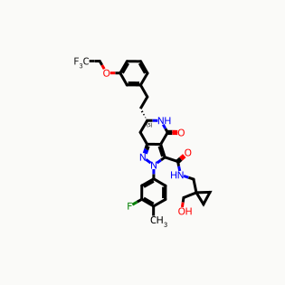 Cc1ccc(-n2nc3c(c2C(=O)NCC2(CO)CC2)C(=O)N[C@@H](CCc2cccc(OCC(F)(F)F)c2)C3)cc1F